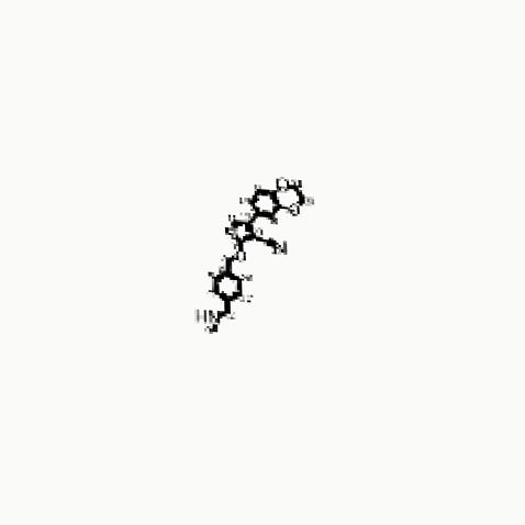 CNCc1ccc(COc2scc(-c3ccc4c(c3)OCCO4)c2C#N)cc1